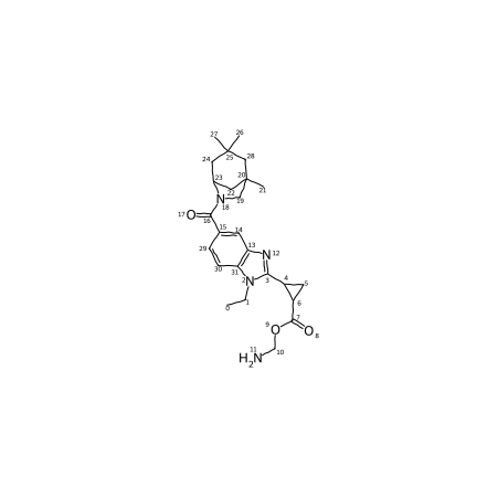 CCn1c(C2CC2C(=O)OCN)nc2cc(C(=O)N3CC4(C)CC3CC(C)(C)C4)ccc21